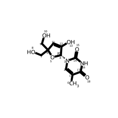 Cc1cn([C@@H]2OC(CO)(CO)C=C2O)c(=O)[nH]c1=O